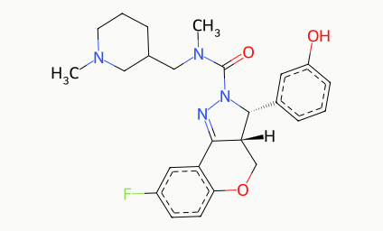 CN1CCCC(CN(C)C(=O)N2N=C3c4cc(F)ccc4OC[C@H]3[C@H]2c2cccc(O)c2)C1